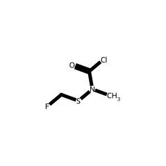 CN(SCF)C(=O)Cl